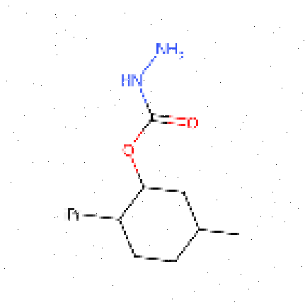 CC1CCC(C(C)C)C(OC(=O)NN)C1